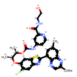 COc1cnc2c(-c3nc4cc(F)c(O[C@@H](C)[C@@H](C)OC(=O)Nc5ccnc(C(=O)NCCO)c5)cc4s3)cc(C)cc2n1